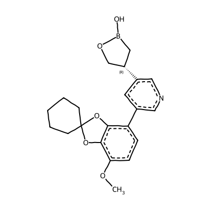 COc1ccc(-c2cncc([C@@H]3COB(O)C3)c2)c2c1OC1(CCCCC1)O2